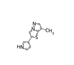 Cc1cnn2cc(-c3cc[nH]c3)sc12